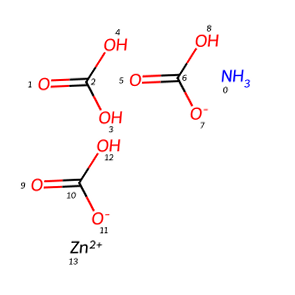 N.O=C(O)O.O=C([O-])O.O=C([O-])O.[Zn+2]